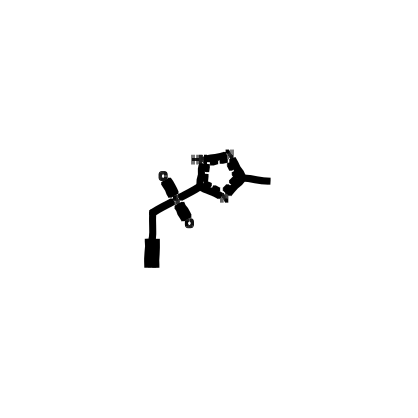 C#CCS(=O)(=O)c1nc(C)n[nH]1